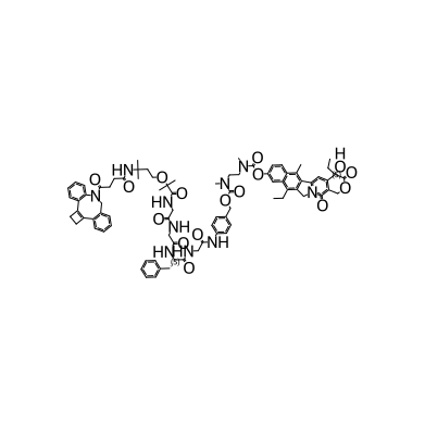 CCc1c2c(c(C)c3ccc(OC(=O)N(C)CCN(C)C(=O)OCc4ccc(NC(=O)CNC(=O)[C@H](Cc5ccccc5)NC(=O)CNC(=O)CNC(=O)C(C)(C)OCCC(C)(C)NC(=O)CCC(=O)N5Cc6ccccc6C6=C(CC6)c6ccccc65)cc4)cc13)-c1cc3c(c(=O)n1C2)COC(=O)[C@]3(O)CC